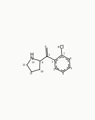 C=C(c1ccccc1Cl)C1CCCN1